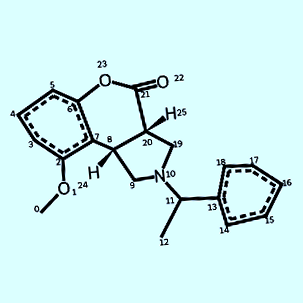 COc1cccc2c1[C@H]1CN(C(C)c3ccccc3)C[C@H]1C(=O)O2